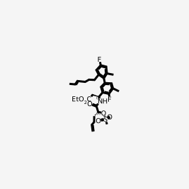 C=CCC[C@@H](OS(C)(=O)=O)C(=O)N[C@@H](CC(=O)OCC)c1cc(-c2c(C)cc(F)cc2CCCC=CC)cc(C)c1F